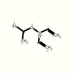 C=C[SiH](C=C)OC(C)CC